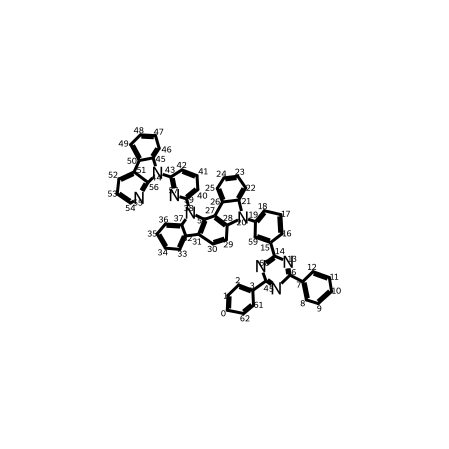 c1ccc(-c2nc(-c3ccccc3)nc(-c3cccc(-n4c5ccccc5c5c4ccc4c6ccccc6n(-c6cccc(-n7c8ccccc8c8cccnc87)n6)c45)c3)n2)cc1